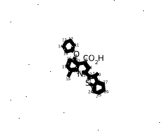 Cc1c(-c2cc(C(=O)O)c3c(OC4CCCCC4)ccc(C)c3n2)sc2ccccc12